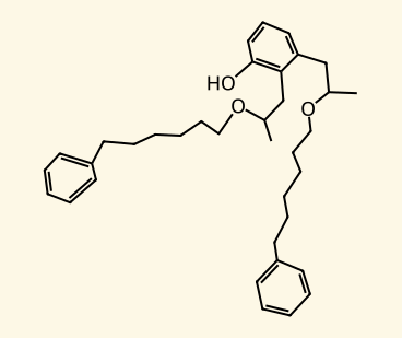 CC(Cc1cccc(O)c1CC(C)OCCCCCCc1ccccc1)OCCCCCCc1ccccc1